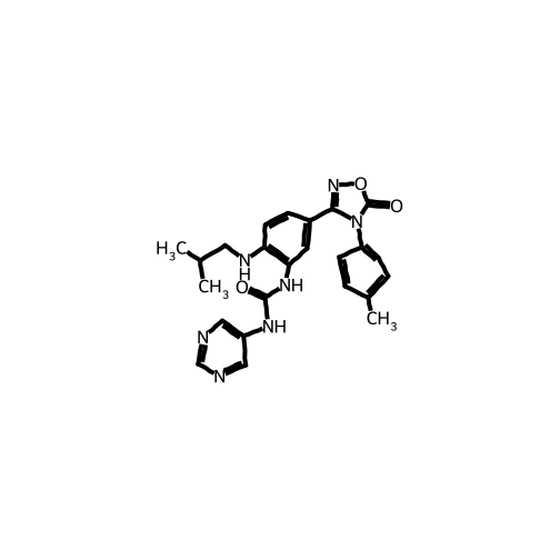 Cc1ccc(-n2c(-c3ccc(NCC(C)C)c(NC(=O)Nc4cncnc4)c3)noc2=O)cc1